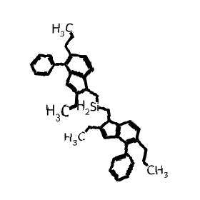 CCCc1ccc2c(c1-c1ccccc1)C=C(CC)C2C[SiH2]CC1C(CC)=Cc2c1ccc(CCC)c2-c1ccccc1